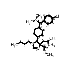 CCCCN1C=NC(CC(C)C)(C(=O)OC)C1C1CCC(C(c2ccc(Cl)cc2)N(C)C)CC1